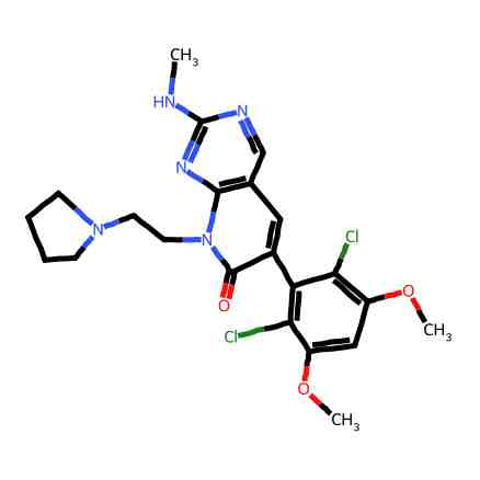 CNc1ncc2cc(-c3c(Cl)c(OC)cc(OC)c3Cl)c(=O)n(CCN3CCCC3)c2n1